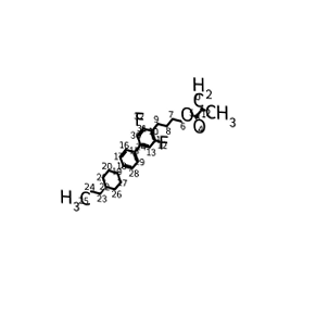 C=C(C)C(=O)OCCCCc1c(F)cc(-c2ccc([C@H]3CC[C@H](CCC)CC3)cc2)cc1F